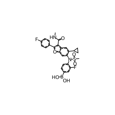 CNC(=O)c1c(-c2ccc(F)cc2)oc2cc(N(c3ccc(B(O)O)cc3F)S(C)(=O)=O)c(C3CC3)cc12